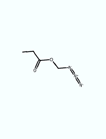 CCC(=O)OCN=[N+]=[N-]